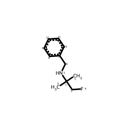 CC(C)(CF)NCc1ccccc1